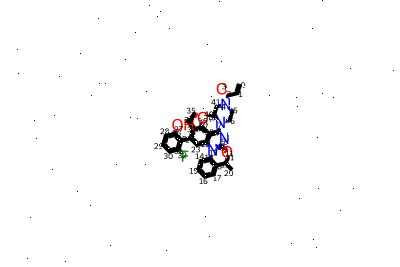 C=CC(=O)N1CCN(c2nc(=O)n(-c3ccccc3C(C)C)c3cc(-c4c(O)cccc4F)c4ccoc4c23)[C@@H](C)C1